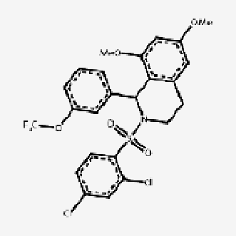 COc1cc2c(c(OC)c1)C(c1cccc(OC(F)(F)F)c1)N(S(=O)(=O)c1ccc(Cl)cc1Cl)CC2